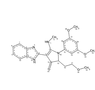 CNC1=C(c2nc3ccccc3[nH]2)C(=O)C(CCOC)N1c1cc(OC)cc(OC)c1